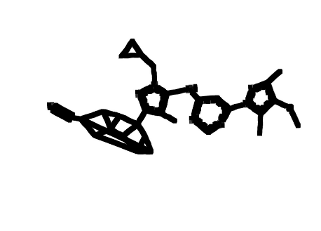 COc1c(C)nn(-c2cc(Nc3c(C)c(C45C6C7C8(C#N)C9C4C94C8C76C54)nn3CC3CC3)ncn2)c1C